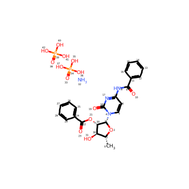 C[C@H]1O[C@@H](n2ccc(NC(=O)c3ccccc3)nc2=O)[C@@H](OC(=O)c2ccccc2)[C@@H]1O.N.O=P(O)(O)O.O=P(O)(O)O